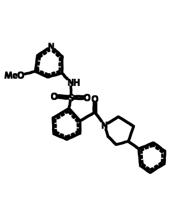 COc1cncc(NS(=O)(=O)c2ccccc2C(=O)N2CCC(c3ccccc3)CC2)c1